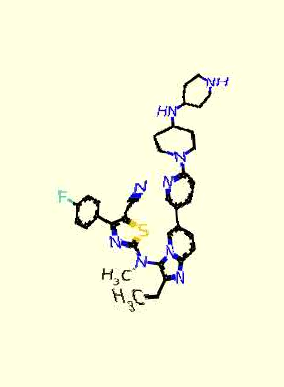 CCc1nc2ccc(-c3ccc(N4CCC(NC5CCNCC5)CC4)nc3)cn2c1N(C)c1nc(-c2ccc(F)cc2)c(C#N)s1